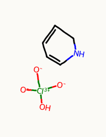 C1=CCNC=C1.[O-][Cl+3]([O-])([O-])O